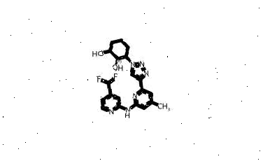 Cc1cc(Nc2cc(C(F)F)ccn2)nc(-c2cn(C3CCCC(O)[C@@H]3O)nn2)c1